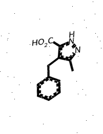 Cc1n[nH]c(C(=O)O)c1Cc1ccccc1